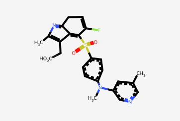 CC1=C(CC(=O)O)C2=C(S(=O)(=O)c3ccc(N(C)c4cncc(C)c4)cc3)C(F)=CCC2=N1